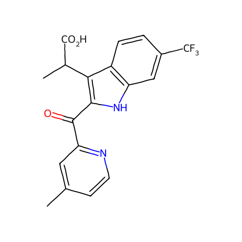 Cc1ccnc(C(=O)c2[nH]c3cc(C(F)(F)F)ccc3c2C(C)C(=O)O)c1